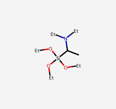 CCO[Si](OCC)(OCC)C(C)N(CC)CC